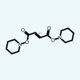 O=C(/C=C/C(=O)ON1CCCCC1)ON1CCCCC1